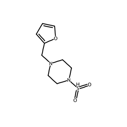 O=[SH](=O)N1CCN(Cc2ccco2)CC1